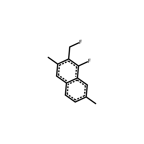 Cc1ccc2cc(C)c(CF)c(F)c2c1